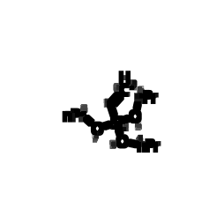 C=C[Si](OCCC)(OCCC)OCCC